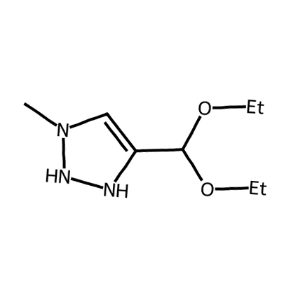 CCOC(OCC)C1=CN(C)NN1